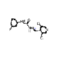 O=C(CNc1cccc(F)c1)N/N=C/c1c(Cl)cncc1Cl